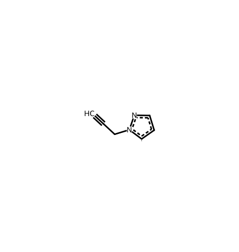 C#CCn1[c]ccn1